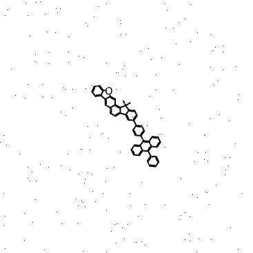 CC1(C)c2ccc(-c3ccc(-c4c5ccccc5c(-c5ccccc5)c5ccccc45)cc3)cc2-c2ccc3cc4c(cc3c21)oc1ccccc14